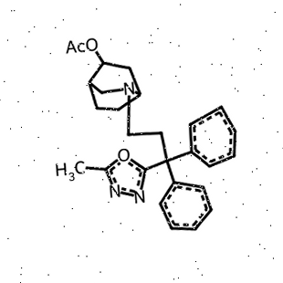 CC(=O)OC1CC2CCC1CN2CCC(c1ccccc1)(c1ccccc1)c1nnc(C)o1